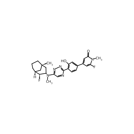 CN(c1cnc(-c2ccc(-c3cc(F)n(C)c(=O)c3)cc2O)nn1)[C@@H]1C[C@@]2(C)CCC[C@H](C2)[C@@H]1F